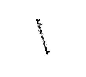 CC(C)CCCOCCOCCOCCOCCNCC(C)C